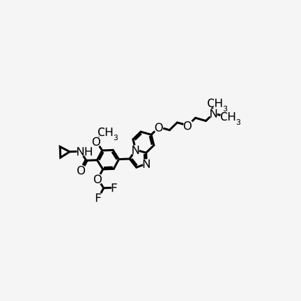 COc1cc(-c2cnc3cc(OCCOCCN(C)C)ccn23)cc(OC(F)F)c1C(=O)NC1CC1